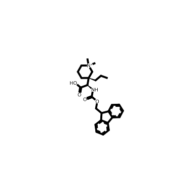 CCC[C@@]1([C@@H](NC(=O)OCC2c3ccccc3-c3ccccc32)C(=O)O)CCC[N+](C)(C)C1